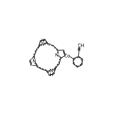 C#Cc1cccc[c]1[Co].C1=Cc2cc3ccc(cc4nc(cc5ccc(cc1n2)[nH]5)C=C4)[nH]3